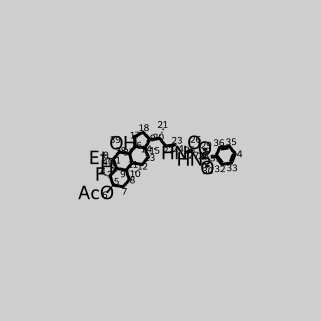 CC[C@@H]1[C@@H]2[C@@H](F)[C@H](OC(C)=O)CC[C@]2(C)C2CC[C@@]3(C)C(CCC3[C@H](C)CCNC(=O)NS(=O)(=O)c3ccccc3)C2[C@@H]1O